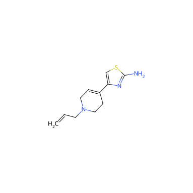 C=CCN1CC=C(c2csc(N)n2)CC1